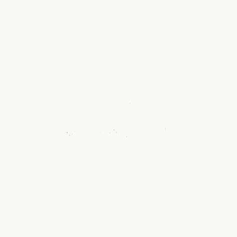 CC(C)C1CCN(CCC#N)CC1C